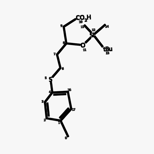 Cc1ccc(SCCC(CC(=O)O)O[Si](C)(C)C(C)(C)C)cc1